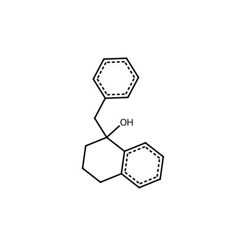 OC1(Cc2ccccc2)CCCc2ccccc21